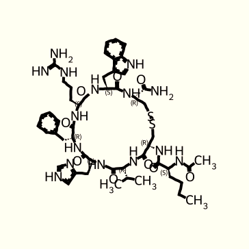 CCCC[C@H](NC(C)=O)C(=O)N[C@H]1CSSC[C@@H](C(N)=O)NC(=O)[C@H](Cc2c[nH]c3ccccc23)NC(=O)[C@H](CCCNC(=N)N)NC(=O)[C@@H](Cc2ccccc2)NC(=O)[C@H](Cc2c[nH]cn2)NC(=O)[C@@H](C(C)C)NC1=O